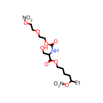 CCC(CCCCOC(=O)C(CO)NC(=O)OCCOCCO[N+](=O)[O-])O[N+](=O)[O-]